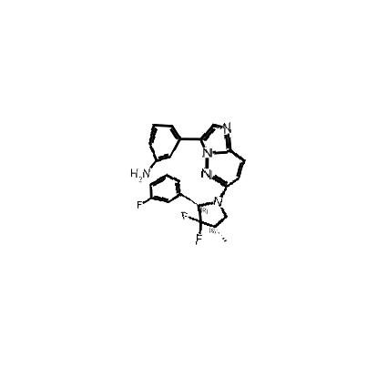 C[C@H]1CN(c2ccc3ncc(-c4cccc(N)c4)n3n2)[C@H](c2cccc(F)c2)C1(F)F